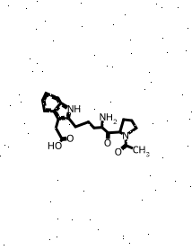 CC(=O)N1CCCC1C(=O)C(N)CCCc1[nH]c2ccccc2c1CC(=O)O